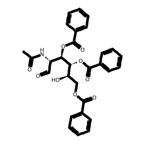 CC(=O)N[C@@H](C=O)[C@@H](OC(=O)c1ccccc1)[C@H](OC(=O)c1ccccc1)[C@H](O)COC(=O)c1ccccc1